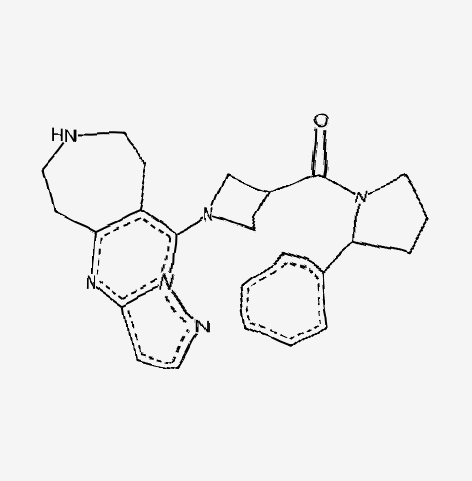 O=C(C1CN(c2c3c(nc4ccnn24)CCNCC3)C1)N1CCCC1c1ccccc1